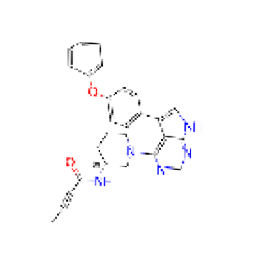 CC#CC(=O)N[C@@H]1CCCN(c2ncnc3[nH]cc(-c4ccc(Oc5ccccc5)cc4)c23)C1